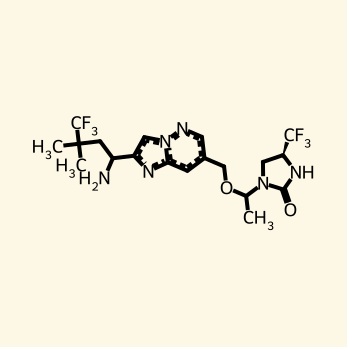 CC(OCc1cnn2cc(C(N)CC(C)(C)C(F)(F)F)nc2c1)N1C[C@@H](C(F)(F)F)NC1=O